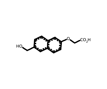 O=C(O)COc1ccc2cc(CO)ccc2c1